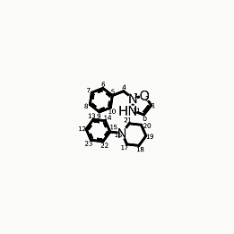 C1=CON(Cc2ccccc2)N1.c1ccc(N2CCCCC2)cc1